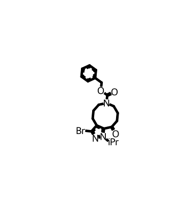 CC(C)n1nc(Br)c2c1C(=O)CCCN(C(=O)OCc1ccccc1)CCC2